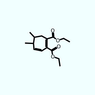 CCOC(=O)C1=C(C(=O)OCC)CC(C)C(C)C=C1